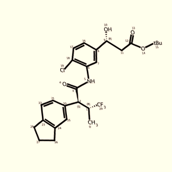 C[C@H]([C@H](C(=O)Nc1cc([C@H](O)CC(=O)OC(C)(C)C)ccc1Cl)c1ccc2c(c1)CCC2)C(F)(F)F